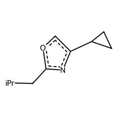 CC(C)Cc1nc(C2CC2)co1